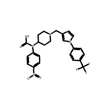 O=C(O)N(c1ccc([N+](=O)[O-])cc1)C1CCN(Cc2ccn(-c3ccc(C(F)(F)F)cc3)c2)CC1